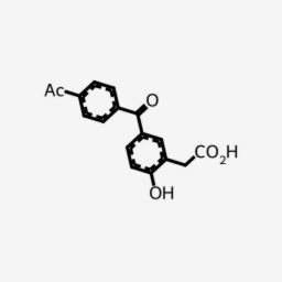 CC(=O)c1ccc(C(=O)c2ccc(O)c(CC(=O)O)c2)cc1